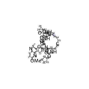 COc1ccc2nc(C)c3c(c2n1)CC[C@]1(C[C@H]2C(=O)N[C@]4(C(=O)[SH](N)(=O)C5(C)CC5)C[C@H]4/C=C\CCCCC[C@H](NC(=O)OC4CCCC4)C(=O)N2C1)O3